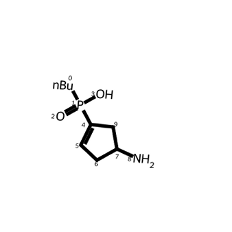 CCCCP(=O)(O)C1=CCC(N)C1